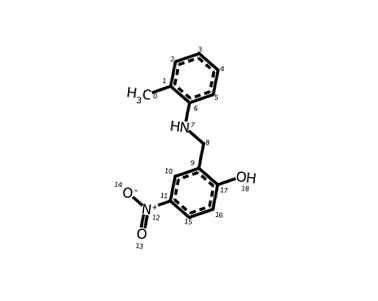 Cc1ccccc1NCc1cc([N+](=O)[O-])ccc1O